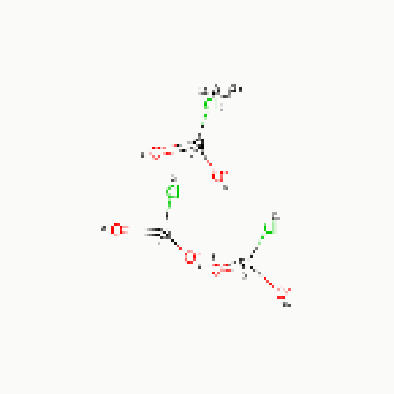 O=[Si]([O-])Cl.O=[Si]([O-])Cl.O=[Si]([O-])Cl.[Au+3]